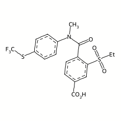 CCS(=O)(=O)c1cc(C(=O)O)ccc1C(=O)N(C)c1ccc(SC(F)(F)F)cc1